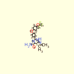 CC(C)Nc1cc(C(N)=O)nc(-c2ccc(Oc3ccc(OC(F)(F)F)cc3)cc2)n1